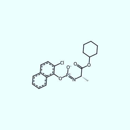 C[C@H](/N=[P+](\[O-])Oc1c(Cl)ccc2ccccc12)C(=O)OC1CCCCC1